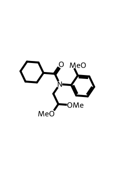 COc1ccccc1N(CC(OC)OC)C(=O)C1CCCCC1